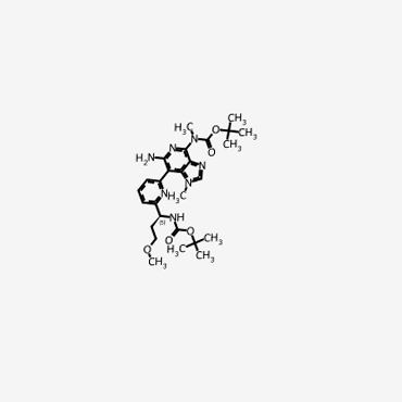 COCC[C@H](NC(=O)OC(C)(C)C)c1cccc(-c2c(N)nc(N(C)C(=O)OC(C)(C)C)c3ncn(C)c23)n1